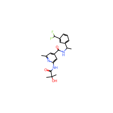 Cc1cc(C(=O)NC(C)c2cccc(C(F)F)c2)cc(NC(=O)C(C)(C)O)n1